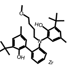 COCCCCN(c1ccccc1-c1cc(C)cc(C(C)(C)C)c1O)c1cc(C)cc(C(C)(C)C)c1O.[Zr]